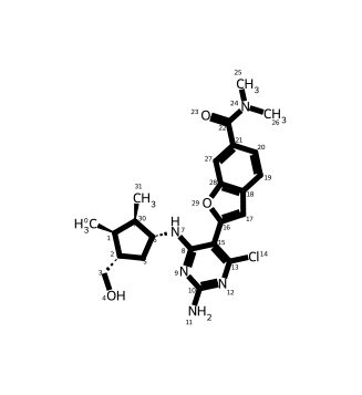 C[C@@H]1[C@@H](CO)C[C@@H](Nc2nc(N)nc(Cl)c2-c2cc3ccc(C(=O)N(C)C)cc3o2)[C@@H]1C